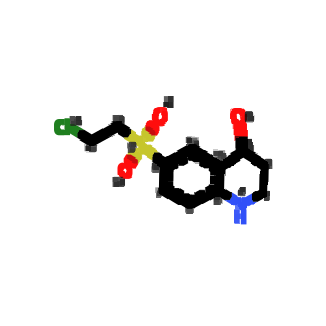 O=C1CCNc2ccc(S(=O)(=O)CCCl)cc21